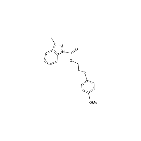 COc1ccc(SCCOC(=O)n2cc(C)c3ccccc32)cc1